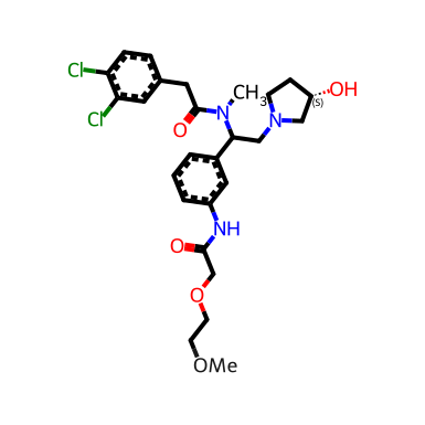 COCCOCC(=O)Nc1cccc(C(CN2CC[C@H](O)C2)N(C)C(=O)Cc2ccc(Cl)c(Cl)c2)c1